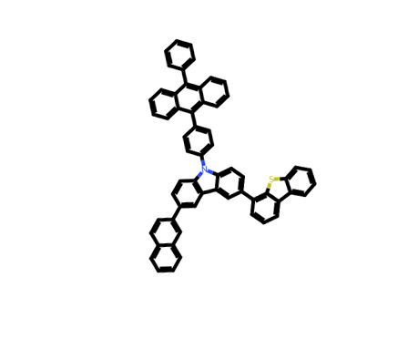 c1ccc(-c2c3ccccc3c(-c3ccc(-n4c5ccc(-c6ccc7ccccc7c6)cc5c5cc(-c6cccc7c6sc6ccccc67)ccc54)cc3)c3ccccc23)cc1